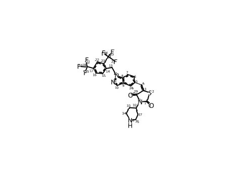 O=C1SC(=Cc2ccc3c(cnn3Cc3ccc(C(F)(F)F)cc3C(F)(F)F)c2)C(=O)N1C1CCNCC1